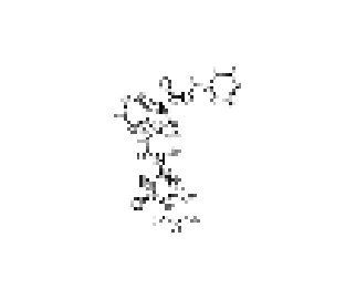 O=C(OCc1ccccc1)N1CC2(CCN(c3nc4c(c(=O)[nH]3)CCCC4)CC2)c2ccccc21